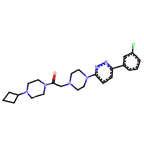 O=C(CN1CCN(c2ccc(-c3cccc(Cl)c3)nn2)CC1)N1CCN(C2CCC2)CC1